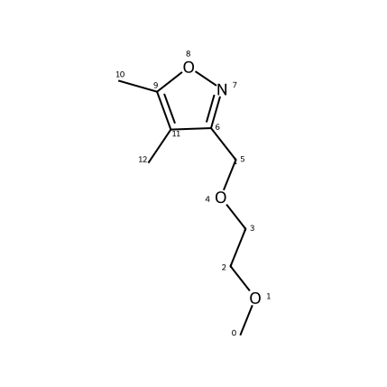 COCCO[CH]c1noc(C)c1C